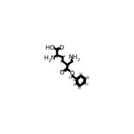 NCC(CCC(N)C(=O)O)C(=O)OCc1ccccc1